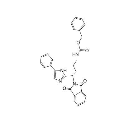 O=C(NCCC[C@@H](c1ncc(-c2ccccc2)[nH]1)N1C(=O)c2ccccc2C1=O)OCc1ccccc1